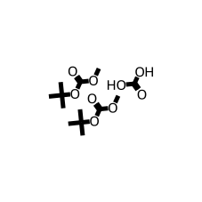 COC(=O)OC(C)(C)C.COC(=O)OC(C)(C)C.O=C(O)O